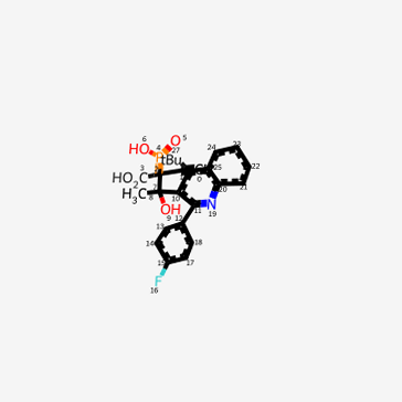 C#CC(C(=O)O)([PH](=O)O)C(C)(O)c1c(-c2ccc(F)cc2)nc2ccccc2c1C(C)(C)C